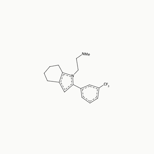 CNCCn1c(-c2cccc(C(F)(F)F)c2)cc2c1CCCC2